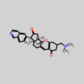 CN(C)CC1CC(=O)C2=C(C1)O[C@@H]1C(=C2)CC[C@]2(C)[C@@H](c3ccc4cnccc4c3)C(=O)C[C@@H]12